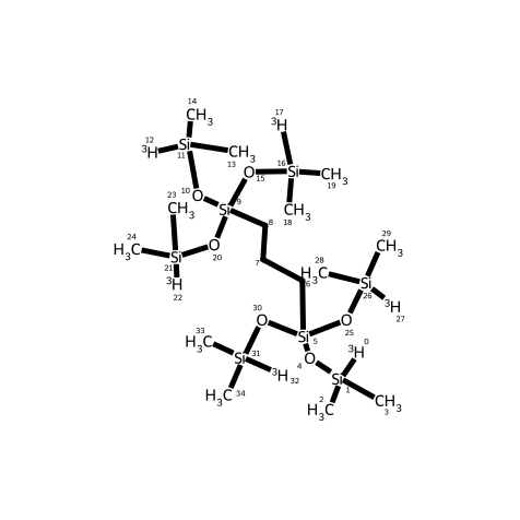 [3H][Si](C)(C)O[Si](CCC[Si](O[Si]([3H])(C)C)(O[Si]([3H])(C)C)O[Si]([3H])(C)C)(O[Si]([3H])(C)C)O[Si]([3H])(C)C